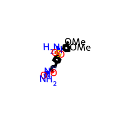 COc1ccc(N(N)S(=O)(=O)c2ccc(/C=C/C(=O)N=NON)cc2)cc1OC